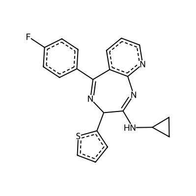 Fc1ccc(C2=NC(c3cccs3)C(NC3CC3)=Nc3ncccc32)cc1